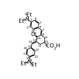 CCN(CC)c1ccc(/C=C2/CC(C(=O)O)C/C(=C\c3ccc(N(CC)CC)cc3)C2=O)cc1